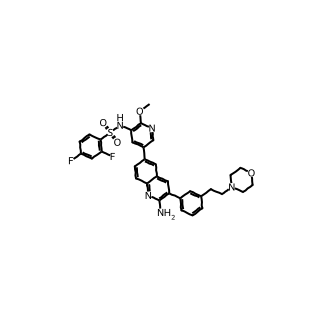 COc1ncc(-c2ccc3nc(N)c(-c4cccc(CCN5CCOCC5)c4)cc3c2)cc1NS(=O)(=O)c1ccc(F)cc1F